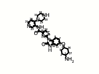 NC1CCC(Oc2ccc3c(c2)[nH]c(=O)n3-c2nc(C(=O)Nc3cnccc3N3CCNCC3)cs2)CC1